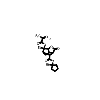 C=C(C(=O)OC1(CC)C2CC3C(C(=O)OC31)C2C(=O)OC1(CC)CCCC1)C(F)(F)F